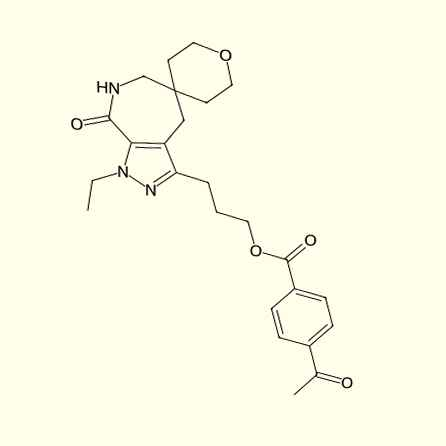 CCn1nc(CCCOC(=O)c2ccc(C(C)=O)cc2)c2c1C(=O)NCC1(CCOCC1)C2